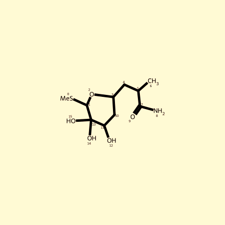 CSC1OC(CC(C)C(N)=O)CC(O)C1(O)O